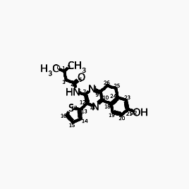 CC(C)CC(=O)Nc1nc2c(nc1-c1cccs1)-c1ccc(O)cc1CC2